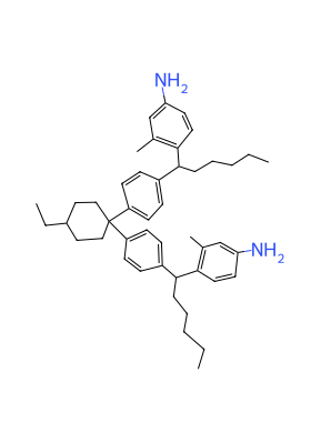 CCCCCC(c1ccc(C2(c3ccc(C(CCCCC)c4ccc(N)cc4C)cc3)CCC(CC)CC2)cc1)c1ccc(N)cc1C